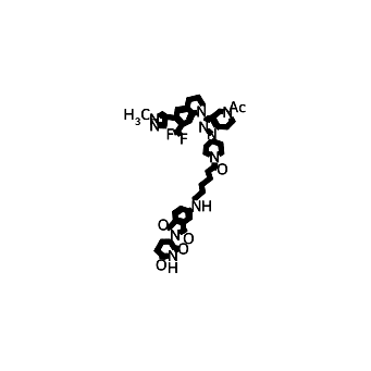 CC(=O)N1CCc2c(c(N3CCCc4cc(-c5cnn(C)c5)c(C(F)F)cc43)nn2C2CCN(C(=O)CCCCCNc3ccc4c(c3)C(=O)N(C3CCC(=O)NC3=O)C4=O)CC2)C1